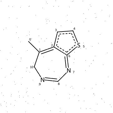 CC1=c2ccsc2=NC=NC1